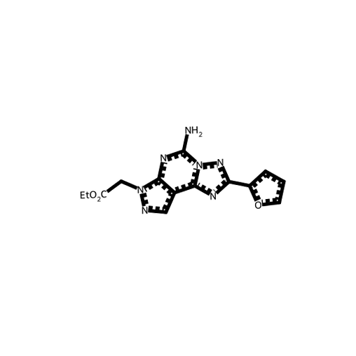 CCOC(=O)Cn1ncc2c1nc(N)n1nc(-c3ccco3)nc21